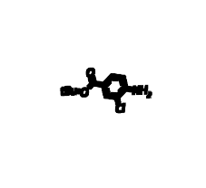 CC(C)(C)OC(=O)c1ccc(N)c(Cl)c1